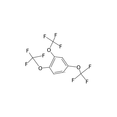 FC(F)(F)Oc1[c]cc(OC(F)(F)F)c(OC(F)(F)F)c1